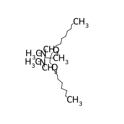 CCCCCCCCOCC(C)(COCCCCCCCC)C(N(C)C)N(C)C